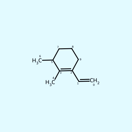 C=CC1=C(C)C(C)CCC1